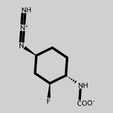 N=[N+]=N[C@H]1CC[C@H](NC(=O)[O-])[C@@H](F)C1